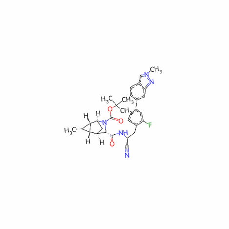 C[C@H]1[C@H]2[C@H]3C[C@@H]([C@@H]12)N(C(=O)OC(C)(C)C)[C@@H]3C(=O)N[C@H](C#N)Cc1ccc(-c2ccc3cn(C)nc3c2)cc1F